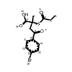 CCC(=O)SC(C)(CC(=O)c1ccc(Br)cc1)C(=O)O